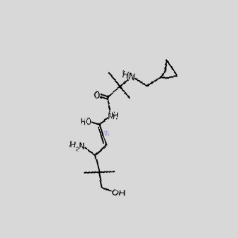 CC(C)(NCC1CC1)C(=O)N/C(O)=C/C(N)C(C)(C)CO